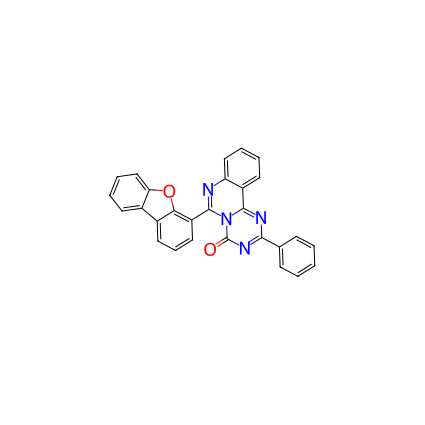 O=c1nc(-c2ccccc2)nc2c3ccccc3nc(-c3cccc4c3oc3ccccc34)n12